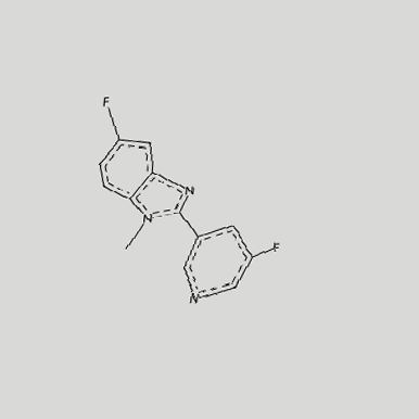 Cn1c(-c2cncc(F)c2)nc2cc(F)ccc21